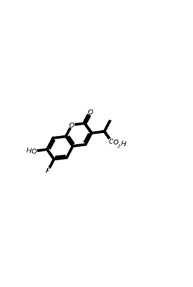 CC(C(=O)O)c1cc2cc(F)c(O)cc2oc1=O